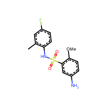 COc1ccc(N)cc1S(=O)(=O)Nc1ccc(F)cc1C